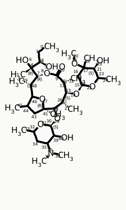 CC[C@@H](O)[C@@](C)(O)[C@@H]1OC(=O)[C@H](C)[C@@H](O[C@H]2CC(C)(OC)[C@@H](O)C(C)O2)[C@H](C)[C@@H](O[C@@H]2OC(C)CC(N(C)C)C2O)[C@@]2(C)CC(C)C(O2)[C@@H]1C